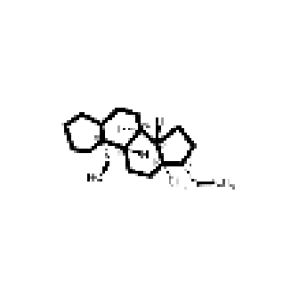 CC[C@H]1CC[C@H]2[C@@H]3CCC4CCCC[C@]4(CO)[C@H]3CC[C@]12C